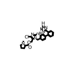 CCCCc1nc(Cl)c(COC(=O)C2CCCN2C)n1Cc1ccc(-c2ccccc2-c2nn[nH]n2)cc1